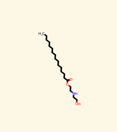 CCCCCCCCCCCCCCCC(=O)OCCNCCO